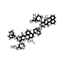 CCc1cccc2cccc(-c3ncc4c(N5CCCCC6(CC(=O)N6)C5)nc(OCC56CCCN5C(c5ccc(CC)c7c(-c8ncc9c(N%10CCOCC(CO)C%10)nc(OCC%10%11CCCN%10CCC%11)nc9c8F)cccc57)CC6)nc4c3F)c12